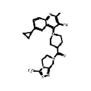 Cc1nc2ccc(C3CC3)cc2c(N2CCC(C(=O)N3CCn4c(nnc4C(F)(F)F)C3)CC2)c1C#N